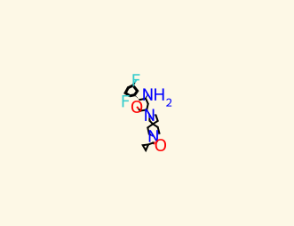 N[C@H]1C[C@@H](N2CCC3(CCN(C(=O)C4CC4)CC3)C2)CO[C@@H]1c1cc(F)ccc1F